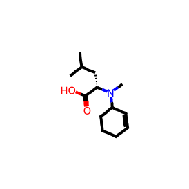 CC(C)C[C@@H](C(=O)O)N(C)C1C=CCCC1